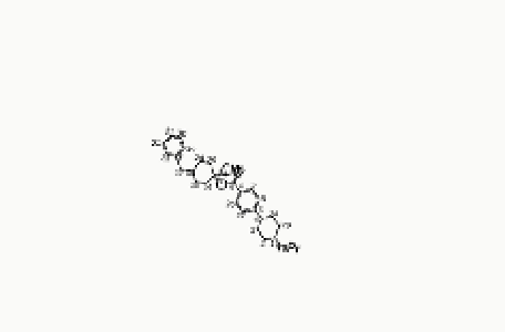 CCCC1CCC(c2ccc(C(=O)OC3(C#N)CCC(Cc4ccccc4)CC3)cc2)CC1